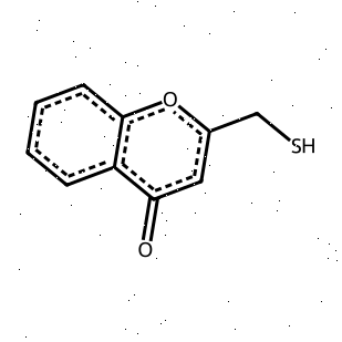 O=c1cc(CS)oc2ccccc12